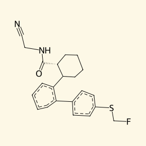 N#CCNC(=O)[C@@H]1CCCCC1c1ccccc1-c1ccc(SCF)cc1